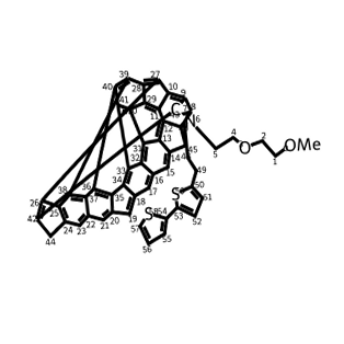 COCCOCCN1CC2C3=c4c5c6c7c(cc8cc9cc%10cc%11cc%12c%13c(c4c4c5c5c7c8c7c9c%10c8c%11c%13c4c8c75)=C(C3)C%12)CC62C1CCc1ccc(-c2cccs2)s1